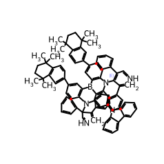 C=C(/C(=C(\C=N)c1ccccc1)N1c2ccc(-c3ccc4c(c3)C(C)(C)CCC4(C)C)cc2B2c3cc(-c4ccc5c(c4)C(C)(C)CCC5(C)C)ccc3N(C(C=N)(C(=C)c3ccccc3)c3ccccc3)c3cc(-n4c5ccccc5c5ccccc54)cc1c32)c1ccccc1